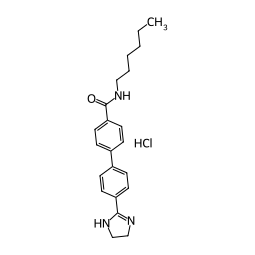 CCCCCCNC(=O)c1ccc(-c2ccc(C3=NCCN3)cc2)cc1.Cl